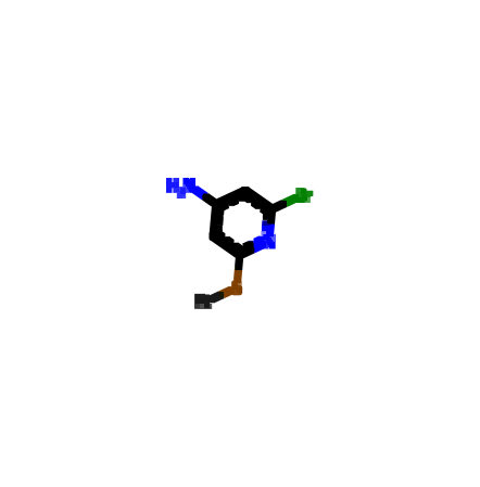 CCSc1cc(N)cc(Br)n1